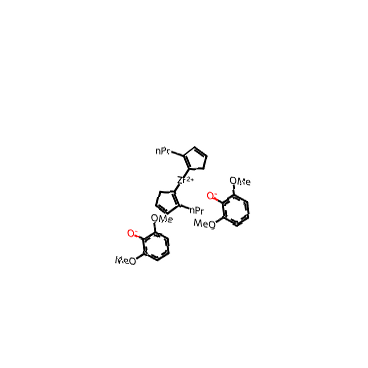 CCCC1=[C]([Zr+2][C]2=C(CCC)C=CC2)CC=C1.COc1cccc(OC)c1[O-].COc1cccc(OC)c1[O-]